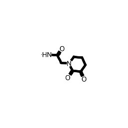 [NH]C(=O)CN1CCCC(=O)C1=O